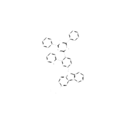 Cc1ccc2c(c1)c1ccccc1n2-c1ccc(-c2nc(-c3ccccc3)nc(-c3ccccc3)n2)c(-c2ccccn2)c1